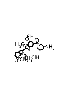 CCn1c(-c2nc3cc(C(=O)N4CCCC(N)C4)cc(OC)c3n2C)cc2ccc(=O)n(C)c21.Cl